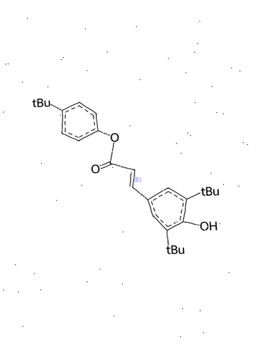 CC(C)(C)c1ccc(OC(=O)/C=C/c2cc(C(C)(C)C)c(O)c(C(C)(C)C)c2)cc1